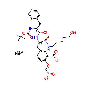 CC(C)(C)OC(=O)N[C@@H](Cc1ccccc1)C(=O)N[C@@H](Cc1ccc(OCC(=O)[O-])c(C(=O)[O-])c1)C(=O)NCCCCCO.[Na+].[Na+]